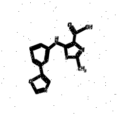 Cc1nc(C(=O)O)c(Nc2cccc(-c3cnco3)c2)s1